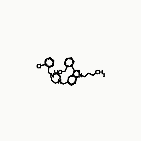 CCCCn1cc(-c2ccccc2CO)c2cc(CN3CCN(Cc4ccccc4Cl)CC3)ccc21